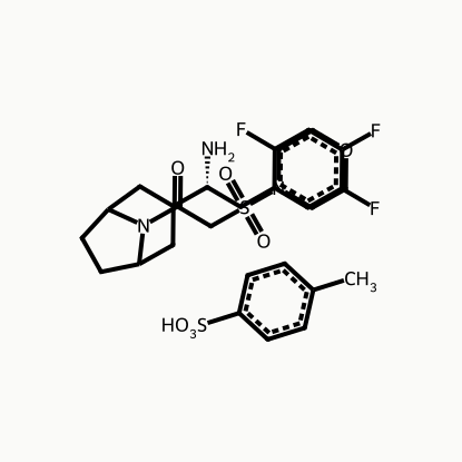 Cc1ccc(S(=O)(=O)O)cc1.N[C@H](Cc1cc(F)c(F)cc1F)C1CC2CCC(C1)N2C(=O)CS(=O)(=O)N1CCOCC1